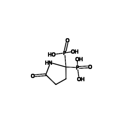 O=C1CCC(P(=O)(O)O)(P(=O)(O)O)N1